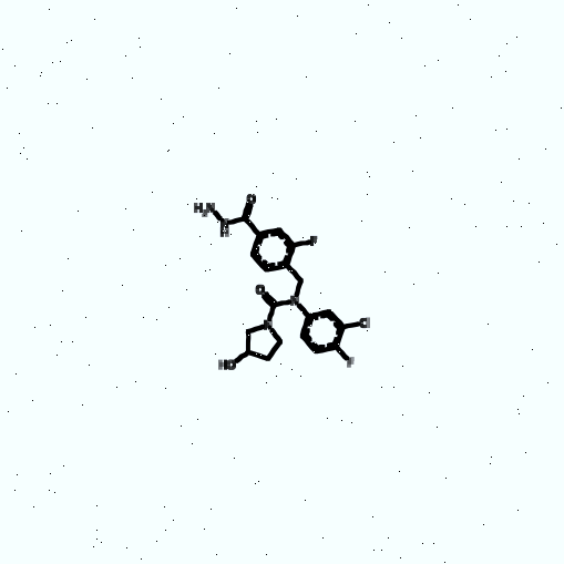 NNC(=O)c1ccc(CN(C(=O)N2CCC(O)C2)c2ccc(F)c(Cl)c2)c(F)c1